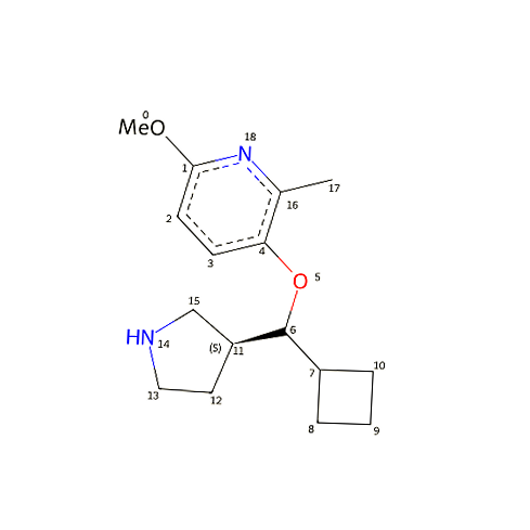 COc1ccc(OC(C2CCC2)[C@H]2CCNC2)c(C)n1